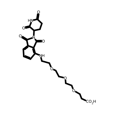 O=C(O)CCOCCOCCOCCNc1cccc2c1C(=O)N(C1CCC(=O)NC1=O)C2=O